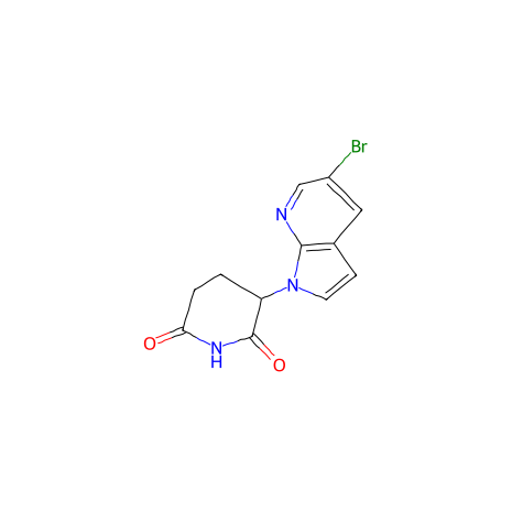 O=C1CCC(n2ccc3cc(Br)cnc32)C(=O)N1